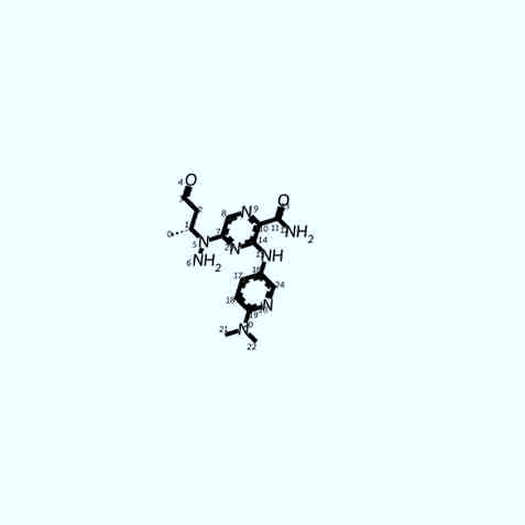 C[C@H](CC=O)N(N)c1cnc(C(N)=O)c(Nc2ccc(N(C)C)nc2)n1